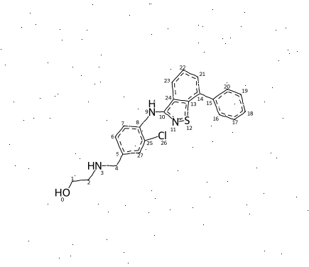 OCCNCc1ccc(Nc2nsc3c(-c4ccccc4)cccc23)c(Cl)c1